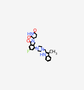 Cc1c(CN2CCN(c3cc(F)cc4c3CN(C3CCC(=O)NC3=O)C4=O)CC2)[nH]c2ccccc12